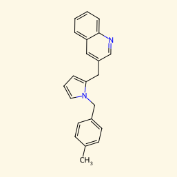 Cc1ccc(Cn2cccc2Cc2cnc3ccccc3c2)cc1